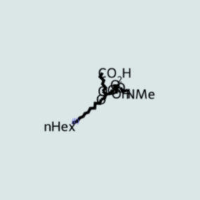 CCCCCC/C=C/CCCCCCCCOCC(COP(=O)(O)OCCNC)OCCCCC(=O)O